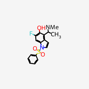 CNC(C)c1c(O)c(F)cc2c1ccn2S(=O)(=O)c1ccccc1